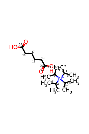 CC(C)[N+](C(C)C)(C(C)C)C(C)C.O=C(O)CCCCC(=O)O